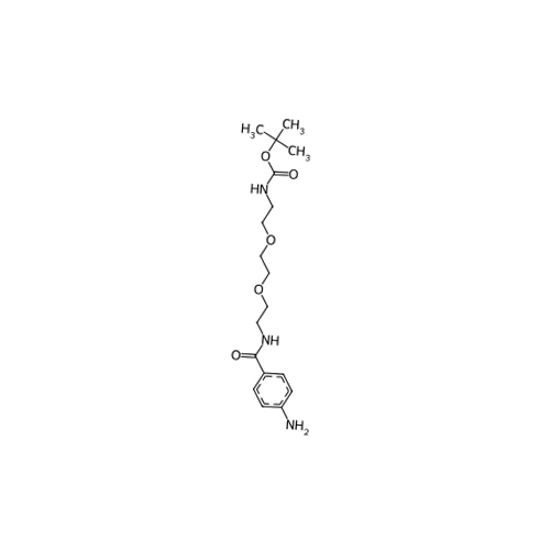 CC(C)(C)OC(=O)NCCOCCOCCNC(=O)c1ccc(N)cc1